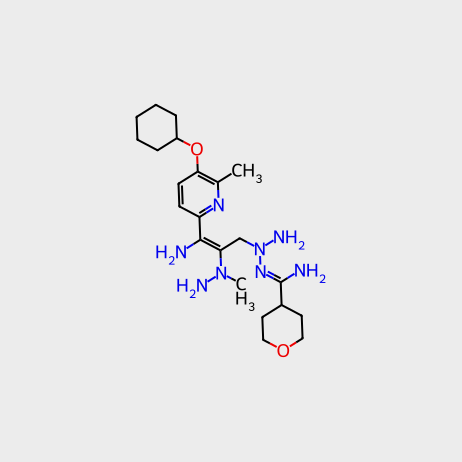 Cc1nc(/C(N)=C(\CN(N)/N=C(\N)C2CCOCC2)N(C)N)ccc1OC1CCCCC1